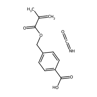 C=C(C)C(=O)OCc1ccc(C(=O)O)cc1.N=C=O